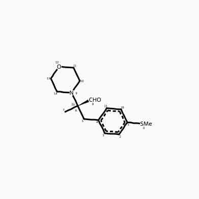 CSc1ccc(C[C@@](C)(C=O)N2CCOCC2)cc1